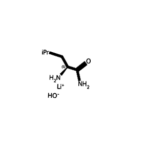 CC(C)C[C@H](N)C(N)=O.[Li+].[OH-]